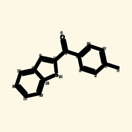 Cc1ccc(C(=O)c2cc3ccccc3s2)cc1